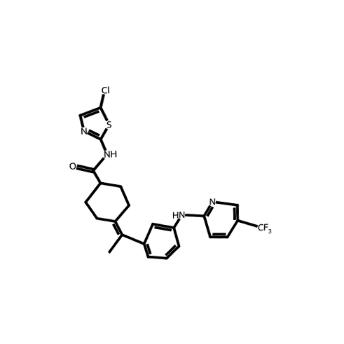 CC(=C1CCC(C(=O)Nc2ncc(Cl)s2)CC1)c1cccc(Nc2ccc(C(F)(F)F)cn2)c1